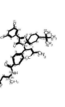 CC(C)CC(c1ccc(C(=O)N[C@H](C)CC(=O)O)cc1)N1C(=O)C(c2cc(Cl)cc(Cl)c2)=NC12CCC(C(C)(C)C)CC2